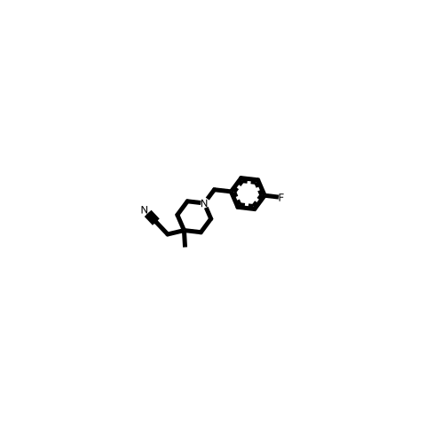 CC1(CC#N)CCN(Cc2ccc(F)cc2)CC1